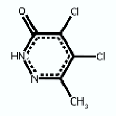 Cc1n[nH]c(=O)c(Cl)c1Cl